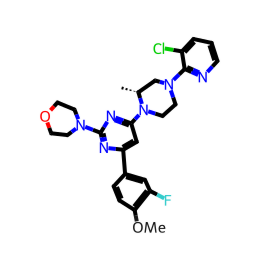 COc1ccc(-c2cc(N3CCN(c4ncccc4Cl)C[C@H]3C)nc(N3CCOCC3)n2)cc1F